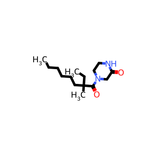 CCCCCCC(C)(CC)C(=O)N1CCNC(=O)C1